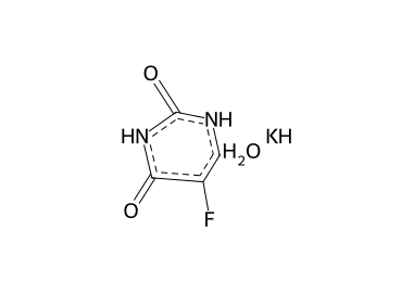 O.O=c1[nH]cc(F)c(=O)[nH]1.[KH]